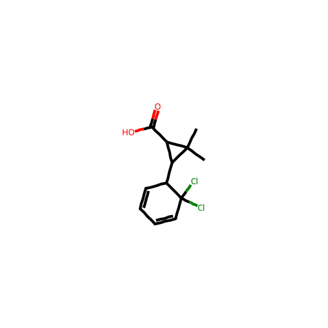 CC1(C)C(C(=O)O)C1C1C=CC=CC1(Cl)Cl